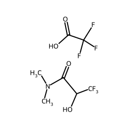 CN(C)C(=O)C(O)C(F)(F)F.O=C(O)C(F)(F)F